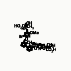 COc1nc(OCc2cccc(-c3cccc(COc4nc5c(cc4Br)CN(C(C)(CO)C(=O)O)O5)c3C)c2C)c(Br)cc1CNC(C)(CO)C(=O)O